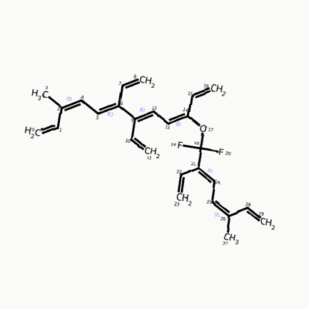 C=C\C(C)=C/C=C(C=C)/C(C=C)=C/C=C(\C=C)OC(F)(F)/C(C=C)=C/C=C(/C)C=C